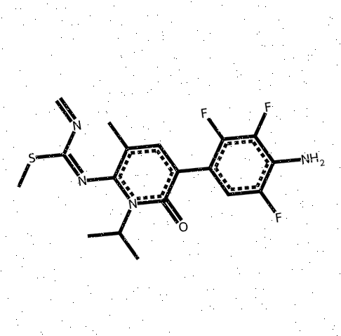 C=N/C(=N\c1c(C)cc(-c2cc(F)c(N)c(F)c2F)c(=O)n1C(C)C)SC